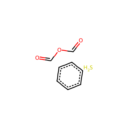 O=COC=O.S.c1ccccc1